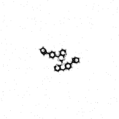 O=C(Oc1ncccc1Cc1ccc(C2CC3CCC2C3)cc1)Oc1ncccc1Cc1ccc(C2CC3CCC2C3)cc1